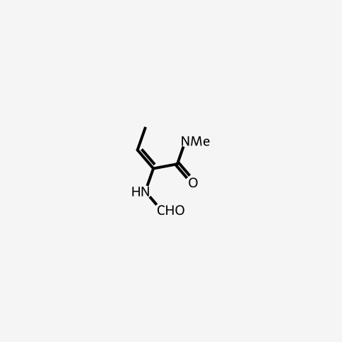 CC=C(NC=O)C(=O)NC